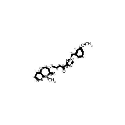 COc1cccc(Cn2cnc(C(=O)CCC[C@H]3COc4cccnc4N(C)C3=S)n2)c1